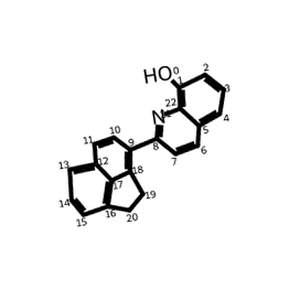 Oc1cccc2ccc(-c3ccc4cccc5c4c3CC5)nc12